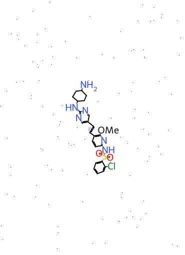 COc1nc(NS(=O)(=O)c2ccccc2Cl)ccc1/C=C/c1cnc(NC2CCC(N)CC2)nc1